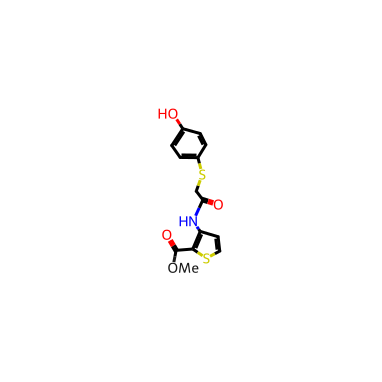 COC(=O)c1sccc1NC(=O)CSc1ccc(O)cc1